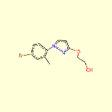 Cc1cc(Br)ccc1-n1ccc(OCCO)n1